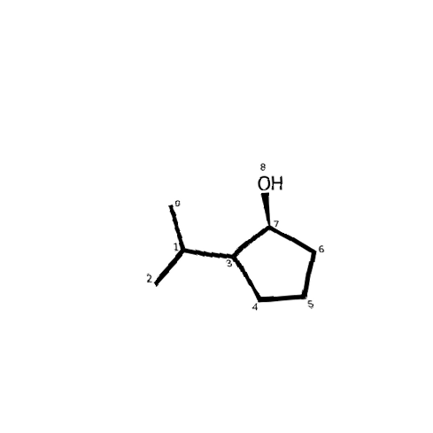 CC(C)C1CCC[C@@H]1O